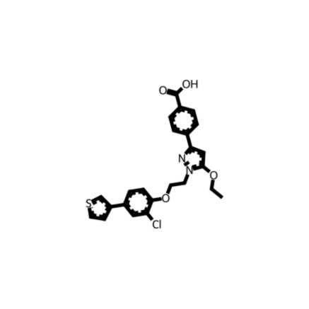 CCOc1cc(-c2ccc(C(=O)O)cc2)nn1CCOc1ccc(-c2ccsc2)cc1Cl